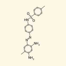 Cc1ccc(S(=O)(=O)Nc2ccc(/N=N/c3cc(C)c(N)cc3N)cc2)cc1